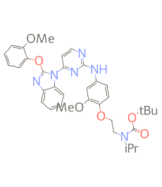 COc1cc(Nc2nccc(-n3c(Oc4ccccc4OC)nc4ccccc43)n2)ccc1OCCN(C(=O)OC(C)(C)C)C(C)C